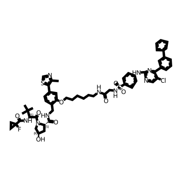 Cc1ncsc1-c1ccc(CNC(=O)[C@@H]2C[C@@H](O)CN2C(=O)[C@@H](NC(=O)C2(F)CC2)C(C)(C)C)c(OCCCCCCNC(=O)CNS(=O)(=O)c2ccc(Nc3ncc(Cl)c(-c4cccc(-c5ccccc5)c4)n3)cc2)c1